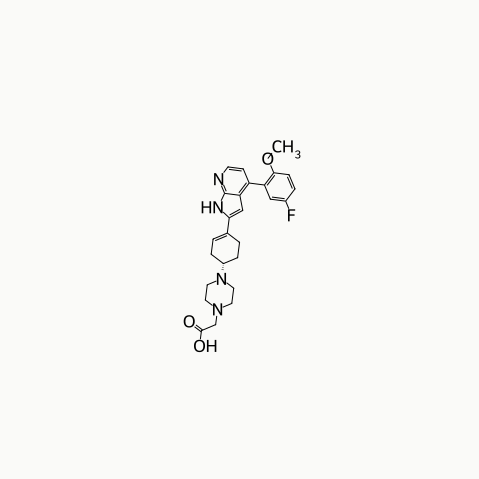 COc1ccc(F)cc1-c1ccnc2[nH]c(C3=CC[C@@H](N4CCN(CC(=O)O)CC4)CC3)cc12